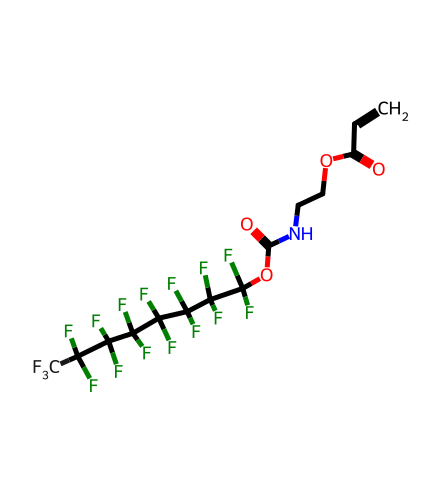 C=CC(=O)OCCNC(=O)OC(F)(F)C(F)(F)C(F)(F)C(F)(F)C(F)(F)C(F)(F)C(F)(F)C(F)(F)F